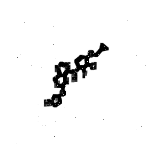 Fc1c(Nc2ncnc3cnc(O[C@H]4CCNC4)nc23)ccc(OCC2CC2)c1Cl